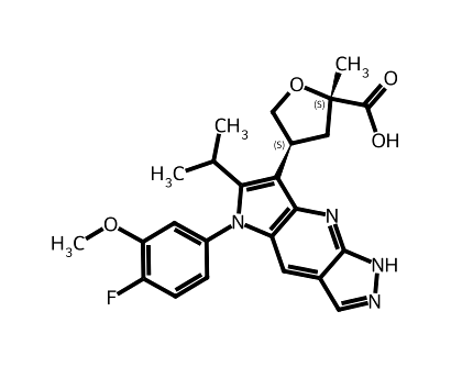 COc1cc(-n2c(C(C)C)c([C@H]3CO[C@](C)(C(=O)O)C3)c3nc4[nH]ncc4cc32)ccc1F